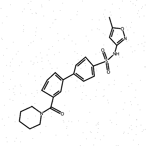 Cc1cc(NS(=O)(=O)c2ccc(-c3cccc(C(=O)N4CCCCC4)c3)cc2)no1